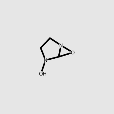 ON1CCN2OC12